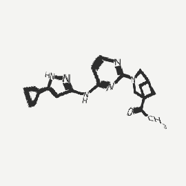 CC(=O)C12CC(CN(c3nccc(Nc4cc(C5CC5)[nH]n4)n3)C1)C2